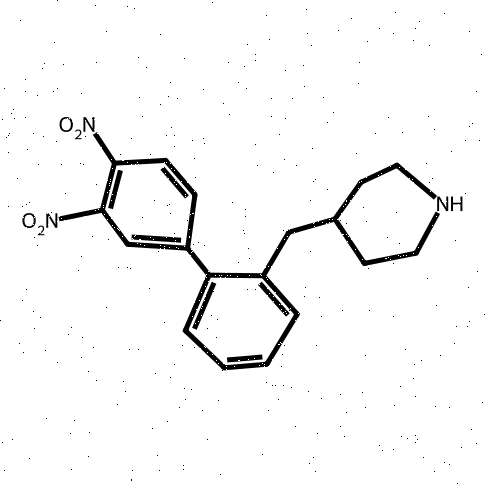 O=[N+]([O-])c1ccc(-c2ccccc2CC2CCNCC2)cc1[N+](=O)[O-]